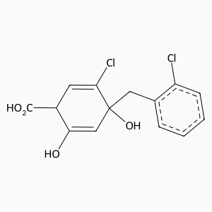 O=C(O)C1C=C(Cl)C(O)(Cc2ccccc2Cl)C=C1O